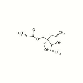 C=CCC(CO)(COC(=O)C=C)C(O)C=C